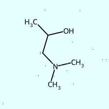 CC(O)[C]N(C)C